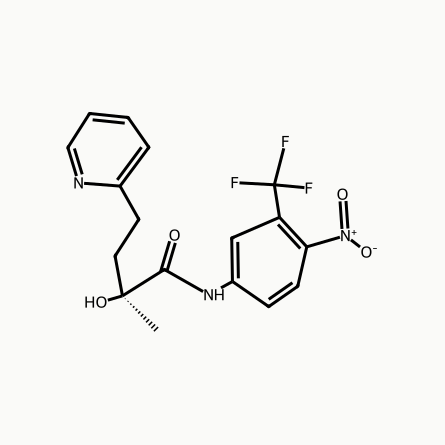 C[C@](O)(CCc1ccccn1)C(=O)Nc1ccc([N+](=O)[O-])c(C(F)(F)F)c1